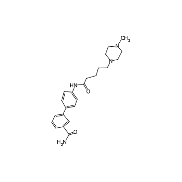 CN1CCN(CCCCC(=O)Nc2ccc(-c3cccc(C(N)=O)c3)cc2)CC1